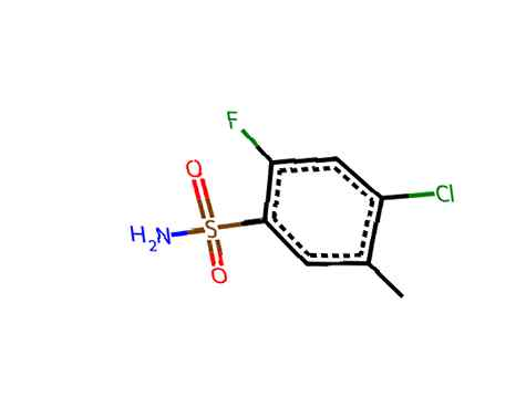 Cc1cc(S(N)(=O)=O)c(F)cc1Cl